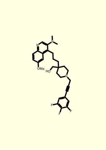 COc1ccc2ncc(N(C)C)c(CCCC3(CO)CCN(CC#Cc4cc(F)c(F)c(F)c4)CC3)c2c1